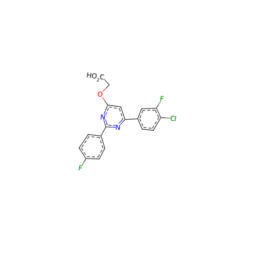 O=C(O)COc1cc(-c2ccc(Cl)c(F)c2)nc(-c2ccc(F)cc2)n1